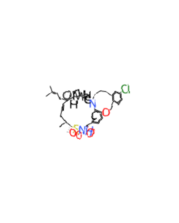 CO[C@@]1(CC=C(C)C)/C=C/C[C@H](C)[C@@H](C)S(=O)(=O)NC(=O)c2ccc3c(c2)N(CCCCc2cc(Cl)ccc2CO3)C[C@@H]2CC[C@H]21